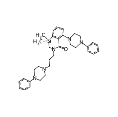 C[Si]1(C)CN(CCCN2CCN(c3ccccc3)CC2)C(=O)c2c(N3CCN(c4ccccc4)CC3)cccc21